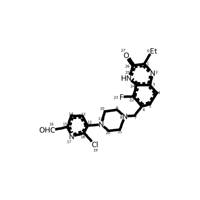 CCc1nc2ccc(CN3CCN(c4ccc(C=O)nc4Cl)CC3)c(F)c2[nH]c1=O